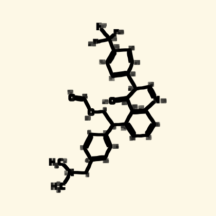 CN(C)Cc1ccc(C(COC=O)c2cccc3c2C(=O)C(c2ccc(C(F)(F)F)cc2)C=N3)cc1